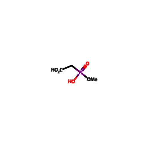 COP(=O)(O)CC(=O)O